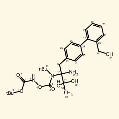 CCCCN(C(=O)ONC(=O)OC(C)(C)C)C(N)(Cc1ccc(-c2ccccc2CO)cc1)C(C)(O)O